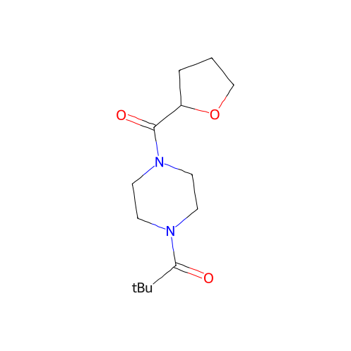 CC(C)(C)C(=O)N1CCN(C(=O)C2CCCO2)CC1